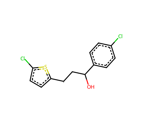 OC(C[CH]c1ccc(Cl)s1)c1ccc(Cl)cc1